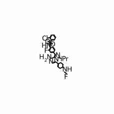 CC(C)c1nc(-c2ccc(NS(=O)(=O)c3ccccc3Cl)c(F)c2)c2c(N)ncc(C3=CCC(NCCF)CC3)n12